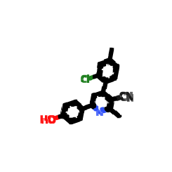 Cc1ccc(-c2cc(-c3ccc(O)cc3)nc(C)c2C#N)c(Cl)c1